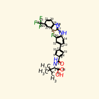 CC(C)(C)[C@H](NC(=O)c1ccc(-c2ccc(Nc3nc4ccc(C(F)(F)F)cc4s3)c(F)c2)cc1)C(=O)O